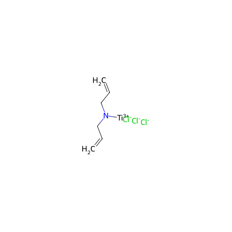 C=CC[N]([Ti+3])CC=C.[Cl-].[Cl-].[Cl-]